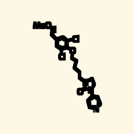 CON=Cc1cc(Cl)c(OCCCCCN2CCN(c3ccncc3)C2=O)c(Cl)c1